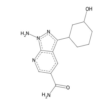 NC(=O)c1cnc2c(c1)c(C1CCCC(O)C1)nn2N